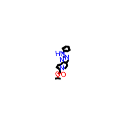 CC(C)OC(=O)c1ccc2n1CCc1cnc(Nc3ccccc3)nc1-2